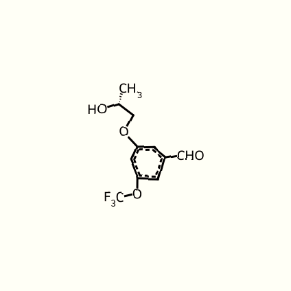 C[C@@H](O)COc1cc(C=O)cc(OC(F)(F)F)c1